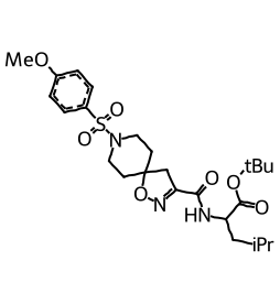 COc1ccc(S(=O)(=O)N2CCC3(CC2)CC(C(=O)NC(CC(C)C)C(=O)OC(C)(C)C)=NO3)cc1